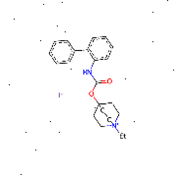 CC[N+]12CCC(OC(=O)Nc3ccccc3-c3ccccc3)(CC1)CC2.[I-]